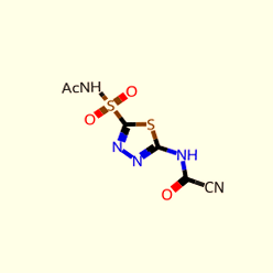 CC(=O)NS(=O)(=O)c1nnc(NC(=O)C#N)s1